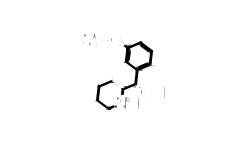 COc1cccc([C@H](O)[C@@H]2CCCCN2)c1